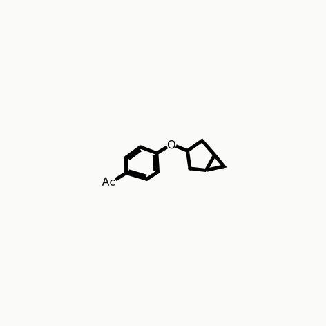 CC(=O)c1ccc(OC2CC3CC3C2)cc1